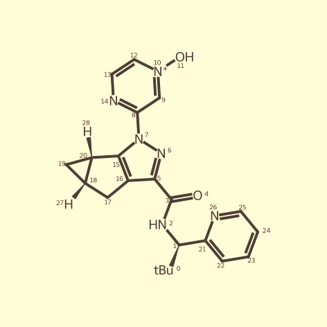 CC(C)(C)[C@@H](NC(=O)c1nn(-c2c[n+](O)ccn2)c2c1C[C@@H]1C[C@H]21)c1ccccn1